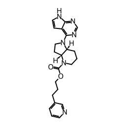 O=C(OCCCc1cccnc1)N1CCC[C@@H]2[C@H]1CCN2c1ncnc2[nH]ccc12